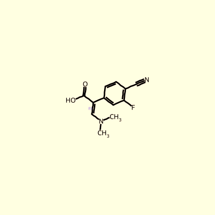 CN(C)/C=C(/C(=O)O)c1ccc(C#N)c(F)c1